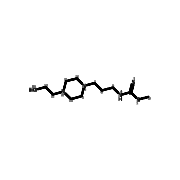 CSC(=S)NCCCN1CCN(CCO)CC1